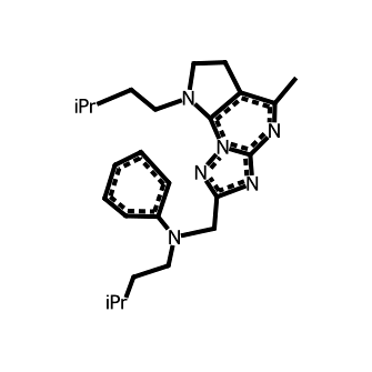 Cc1nc2nc(CN(CCC(C)C)c3ccccc3)nn2c2c1CCN2CCC(C)C